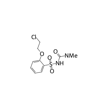 CNC(=O)NS(=O)(=O)c1ccccc1OCCCl